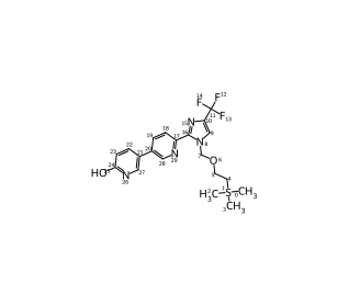 CS(C)(C)CCOCn1cc(C(F)(F)F)nc1-c1ccc(-c2ccc(O)nc2)cn1